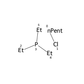 CCCCCCl.CCP(CC)CC